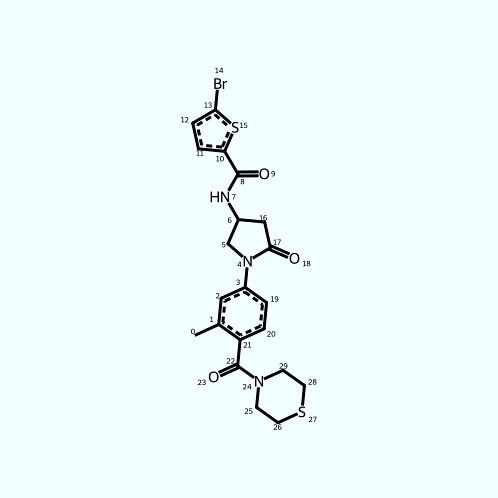 Cc1cc(N2CC(NC(=O)c3ccc(Br)s3)CC2=O)ccc1C(=O)N1CCSCC1